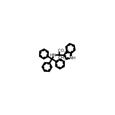 CC(NC(c1ccccc1)(c1ccccc1)c1ccccc1)(C(=O)O)c1c[nH]c2ccccc12